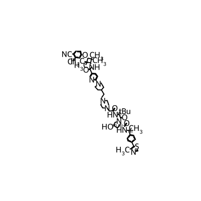 Cc1ncsc1-c1ccc([C@H](C)NC(=O)[C@@H]2C[C@@H](O)CN2C(=O)[C@@H](NC(=O)CN2CCN(CCC3CCN(c4ccc(C(=O)NC5C(C)(C)C(Oc6ccc(C#N)c(Cl)c6)C5(C)C)cn4)CC3)CC2)C(C)(C)C)cc1